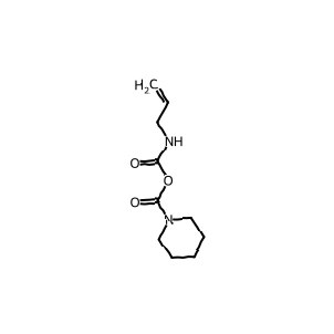 C=CCNC(=O)OC(=O)N1CCCCC1